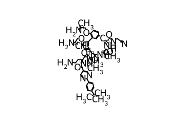 Cc1nc(-c2ccc(C(C)(C)C)cc2)ncc1C(=O)N[C@@H](CCN)C(=O)N(C)[C@@H]1C(=O)N[C@@H](C)C(=O)N[C@H](C(=O)NCC#N)Cc2ccc(OC[C@H](C)N)c(c2)-c2cc1ccc2OC[C@H](C)N